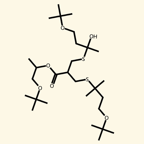 CC(COC(C)(C)C)OC(=O)C(CSC(C)(C)CCOC(C)(C)C)CSC(C)(O)CCOC(C)(C)C